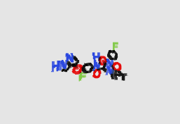 CC(C)n1cc(C(=O)Nc2ccc(Oc3ccnc4c3CCN4)c(F)c2)c(=O)n(-c2ccc(F)cc2)c1=O